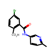 Cc1ccc(NC(=O)c2cc(Br)ccc2C(=O)O)cn1